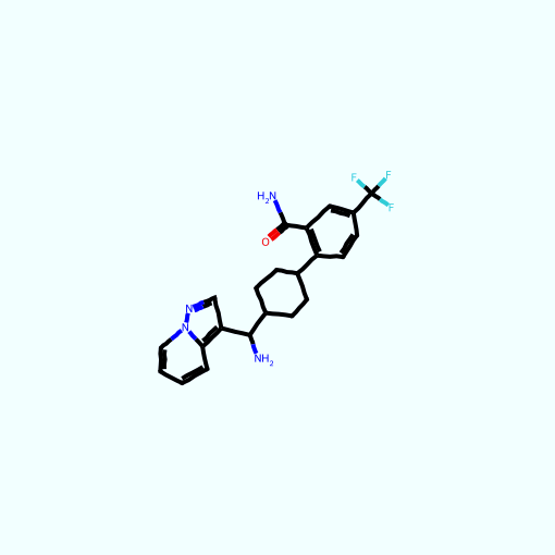 NC(=O)c1cc(C(F)(F)F)ccc1C1CCC(C(N)c2cnn3ccccc23)CC1